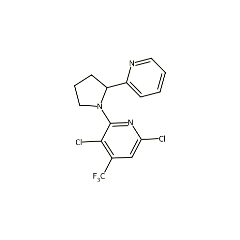 FC(F)(F)c1cc(Cl)nc(N2CCCC2c2ccccn2)c1Cl